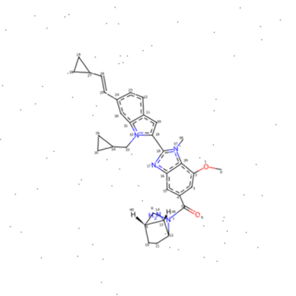 COc1cc(C(=O)N2C[C@H]3CCC2[C@H]3N)cc2nc(-c3cc4ccc(/C=C/C5CC5)cc4n3CC3CC3)n(C)c12